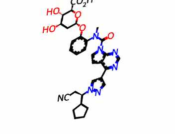 CN(C(=O)n1ccc2c(-c3cnn([C@H](CC#N)C4CCCC4)c3)ncnc21)c1ccccc1O[C@H]1C[C@@H](O)[C@H](O)[C@@H](C(=O)O)O1